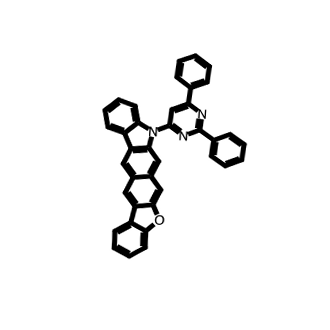 c1ccc(-c2cc(-n3c4ccccc4c4cc5cc6c(cc5cc43)oc3ccccc36)nc(-c3ccccc3)n2)cc1